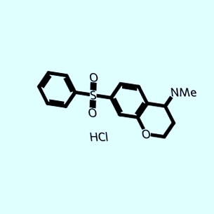 CNC1CCOc2cc(S(=O)(=O)c3ccccc3)ccc21.Cl